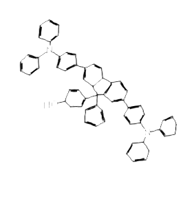 OC1C=CC(C2(c3ccccc3)c3cc(-c4ccc(N(C5=CCCC=C5)C5C=CC=CC5)cc4)ccc3C3C=CC(c4ccc(N(c5ccccc5)c5ccccc5)cc4)=CC32)=CC1